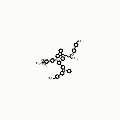 C=Cc1ccc(-c2ccc(OCC(CC)CCCCC3(c4ccccc4)c4ccccc4-c4ccc(N(c5ccc(-c6ccc(C(C)(C)C)cc6)cc5)c5ccc(-c6ccc7c(c6)c6cc(-c8ccc(C=C)cc8)ccc6n7-c6ccccc6)cc5)cc43)cc2)cc1